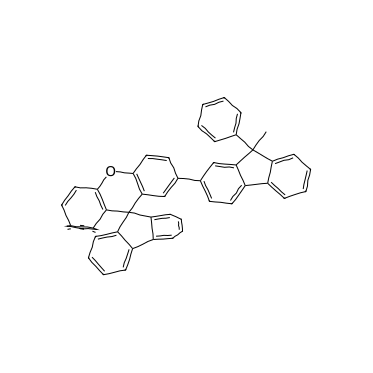 CC1(c2ccccc2)c2ccccc2-c2ccc(-c3ccc4c(c3)C3(c5ccccc5-c5ccccc53)c3c(ccc5ccccc35)O4)cc21